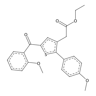 CCOC(=O)Cc1cc(C(=O)c2ccccc2OC)sc1-c1ccc(OC)cc1